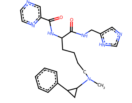 CN(CCCCC(NC(=O)c1cnccn1)C(=O)NCc1cnc[nH]1)C1CC1c1ccccc1